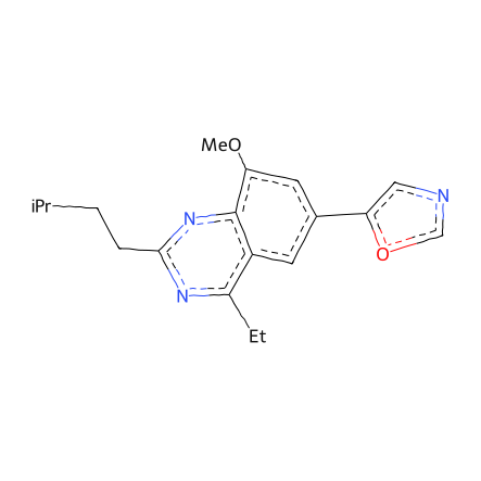 CCc1nc(CCC(C)C)nc2c(OC)cc(-c3cnco3)cc12